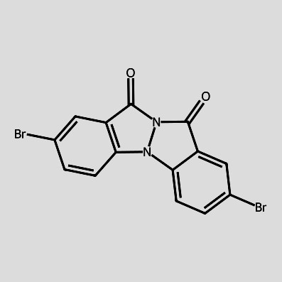 O=c1c2cc(Br)ccc2n2c3ccc(Br)cc3c(=O)n12